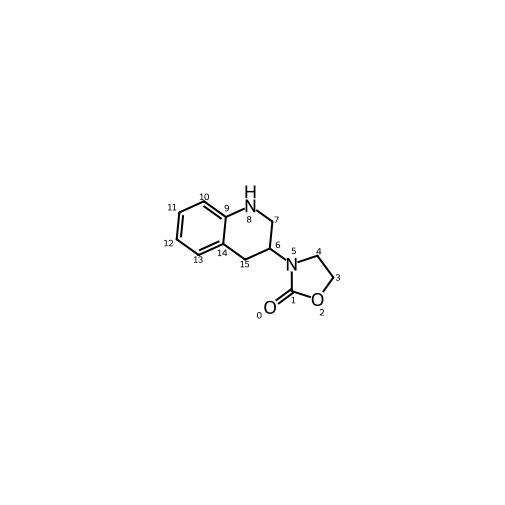 O=C1OCCN1C1CNc2ccccc2C1